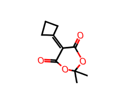 CC1(C)OC(=O)C(=C2CCC2)C(=O)O1